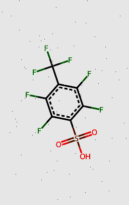 O=S(=O)(O)c1c(F)c(F)c(C(F)(F)F)c(F)c1F